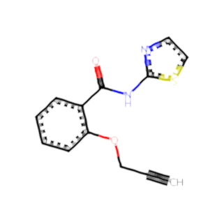 C#CCOc1ccccc1C(=O)Nc1nccs1